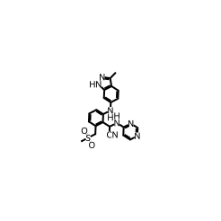 Cc1n[nH]c2cc(Nc3cccc(CS(C)(=O)=O)c3C(C#N)Nc3ccncn3)ccc12